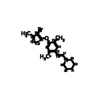 Cc1cc(Oc2snc(C)c2Br)c(C)cc1N=CN1CCCCC1